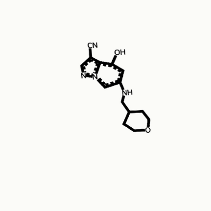 N#Cc1cnn2cc(NCC3CCOCC3)cc(O)c12